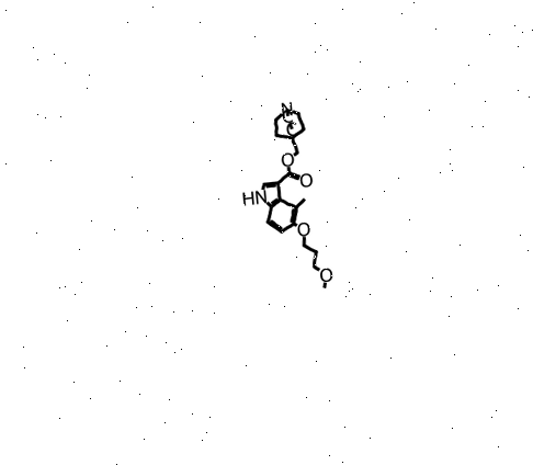 COCCCOc1ccc2[nH]cc(C(=O)OCC34CCN(CC3)CC4)c2c1C